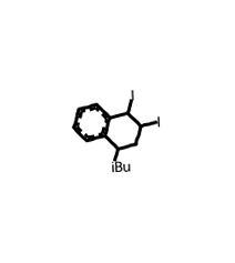 CCC(C)C1CC(I)C(I)c2ccccc21